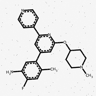 Cc1cc(F)c(N)cc1-c1cc(OC2CCN(C)CC2)nc(-c2ccncc2)c1